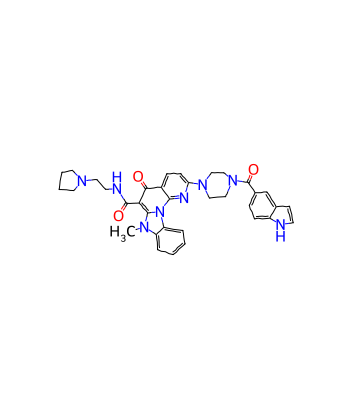 Cn1c2ccccc2n2c3nc(N4CCN(C(=O)c5ccc6[nH]ccc6c5)CC4)ccc3c(=O)c(C(=O)NCCN3CCCC3)c12